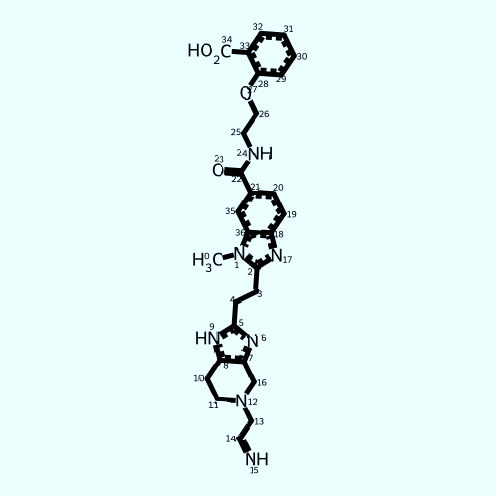 Cn1c(CCc2nc3c([nH]2)CCN(CC=N)C3)nc2ccc(C(=O)NCCOc3ccccc3C(=O)O)cc21